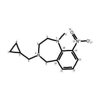 CN1CCN(CC2CC2)Cc2cccc([N+](=O)[O-])c21